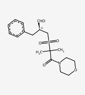 CC(C)(C(=O)N1CCOCC1)S(=O)(=O)C[C@H]([C]=O)Cc1ccccc1